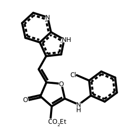 CCOC(=O)C1=C(Nc2ccccc2Cl)OC(=Cc2c[nH]c3ncccc23)C1=O